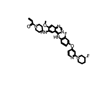 C=CC(=O)N1CCC(Nc2cc3c(Nc4ccc(Oc5ccnc(N6CCC[C@@H](F)C6)c5)cc4F)ncnc3cc2OC)CC1